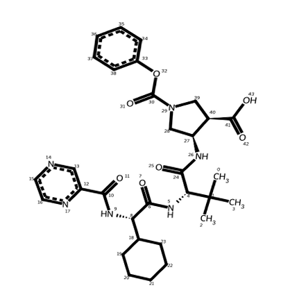 CC(C)(C)[C@H](NC(=O)[C@@H](NC(=O)c1cnccn1)C1CCCCC1)C(=O)N[C@H]1CN(C(=O)Oc2ccccc2)C[C@H]1C(=O)O